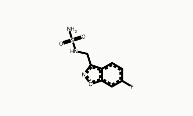 NS(=O)(=O)NCc1noc2cc(F)ccc12